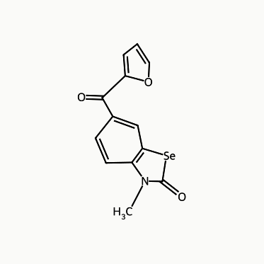 Cn1c(=O)[se]c2cc(C(=O)c3ccco3)ccc21